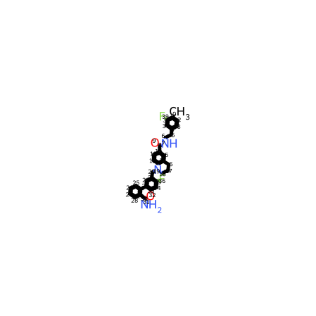 Cc1ccc(CCNC(=O)c2ccc3c(c2)CCCN3Cc2cc(-c3ccccc3C(N)=O)ccc2F)cc1F